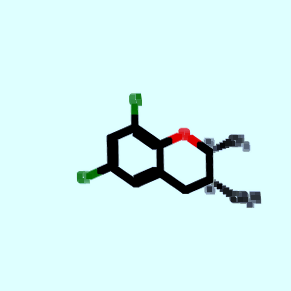 O=C(O)[C@@H]1Cc2cc(Cl)cc(Cl)c2O[C@@H]1C(F)(F)F